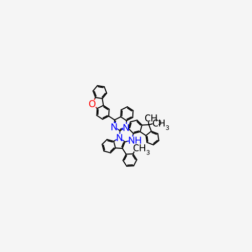 Cc1ccccc1-c1c(Nc2cccc3c2-c2ccccc2C3(C)C)n(-c2nc(-c3ccc4oc5ccccc5c4c3)c3ccccc3n2)c2ccccc12